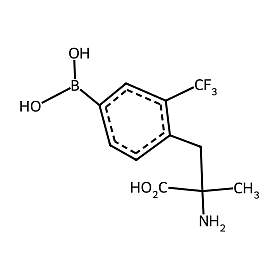 CC(N)(Cc1ccc(B(O)O)cc1C(F)(F)F)C(=O)O